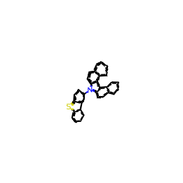 c1ccc2c(c1)ccc1c2c2c3ccccc3ccc2n1-c1ccc2sc3ccccc3c2c1